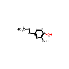 CCCCc1cc(CCC(=O)O)ccc1O